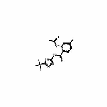 CC(=O)Oc1cc(C)ccc1C(=O)Nc1nnc(C(F)(F)F)o1